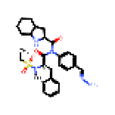 CCS(=O)(=O)N(C)[C@H](Cc1ccccc1)C(=O)N(C(=O)C1CC2CCCCC2N1)c1ccc(C=NN)cc1